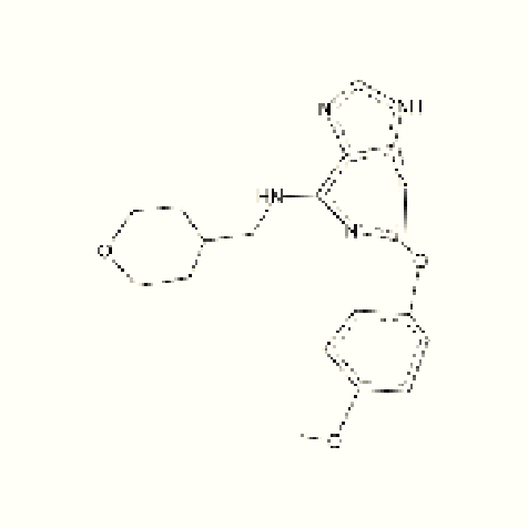 COc1ccc(Oc2nc(NCC3CCOCC3)c3nc[nH]c3n2)cc1